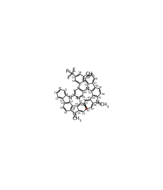 Cc1cc(-c2cc(-n3c4ccccc4c4ccc5c(c6ccccc6n5C)c43)ncc2-n2c3ccccc3c3ccc4c(c5ccccc5n4C)c32)cc(C(F)(F)F)c1